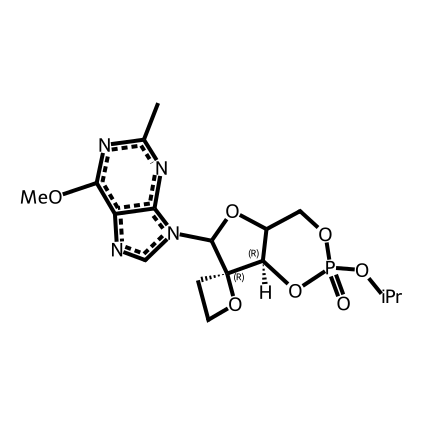 COc1nc(C)nc2c1ncn2C1OC2COP(=O)(OC(C)C)O[C@H]2[C@]12CCO2